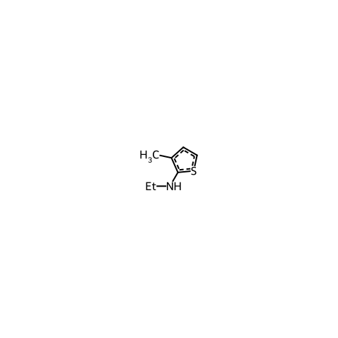 CCNc1sccc1C